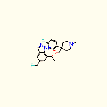 CC(OCC1(c2ccc(F)cc2)CCN(C)CC1)c1cc(CF)cc2cn[nH]c12